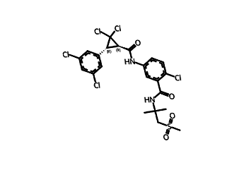 CC(C)(CS(C)(=O)=O)NC(=O)c1cc(NC(=O)[C@H]2[C@H](c3cc(Cl)cc(Cl)c3)C2(Cl)Cl)ccc1Cl